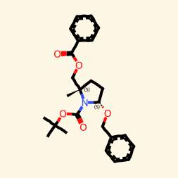 CC(C)(C)OC(=O)N1[C@@H](OCc2ccccc2)CC[C@@]1(C)COC(=O)c1ccccc1